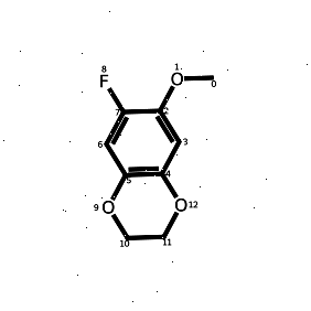 COc1cc2c(cc1F)OCCO2